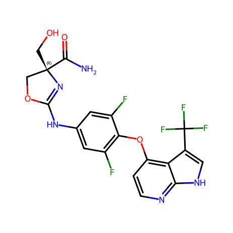 NC(=O)[C@@]1(CO)COC(Nc2cc(F)c(Oc3ccnc4[nH]cc(C(F)(F)F)c34)c(F)c2)=N1